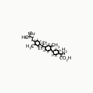 CCC(CC)(c1ccc(CC[C@H](O)C(C)(C)C)c(C)c1)c1ccc(-c2ccc(C(N)C(=O)O)cc2)c(C)c1